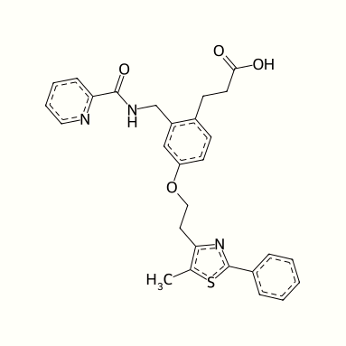 Cc1sc(-c2ccccc2)nc1CCOc1ccc(CCC(=O)O)c(CNC(=O)c2ccccn2)c1